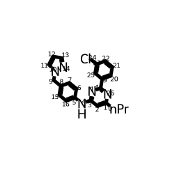 CCCc1cc(Nc2ccc(Cn3cccn3)cc2)nc(-c2cccc(Cl)c2)n1